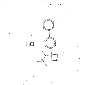 CC(N(C)C)C1(c2ccc(-c3ccccc3)cc2)CCC1.Cl